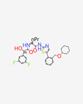 CCC[C@H](NC(=O)[C@H](O)c1cc(F)cc(F)c1)C(=O)Nc1ncc(-c2ccccc2COC2CCCCC2)s1